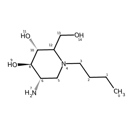 CCCCN1C[C@H](N)[C@@H](O)[C@H](O)C1CO